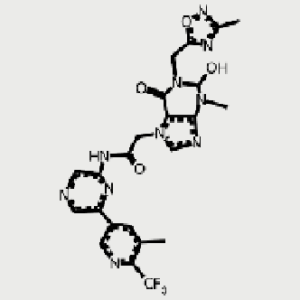 Cc1noc(CN2C(=O)c3c(ncn3CC(=O)Nc3cncc(-c4cnc(C(F)(F)F)c(C)c4)n3)N(C)C2O)n1